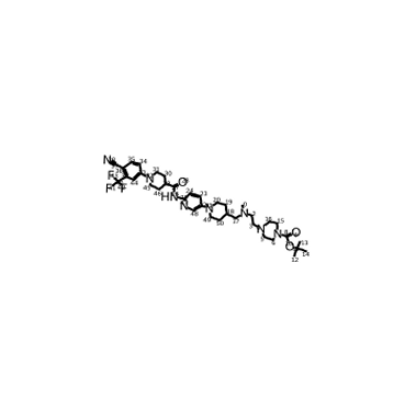 CN(CCN1CCN(C(=O)OC(C)(C)C)CC1)CC1CCN(c2ccc(NC(=O)C3CCN(c4ccc(C#N)c(C(F)(F)F)c4)CC3)nc2)CC1